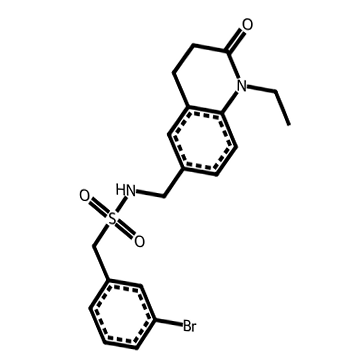 CCN1C(=O)CCc2cc(CNS(=O)(=O)Cc3cccc(Br)c3)ccc21